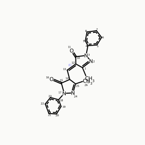 CC1=NN(c2ccccc2)C(=O)/C1=C/C1C(=O)N(c2ccccc2)N=C1C